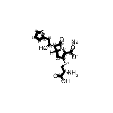 N[C@@H](CSC1=C(C(=O)[O-])N2C(=O)[C@H](C(O)Cc3cccs3)[C@H]2C1)C(=O)O.[Na+]